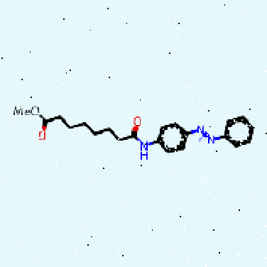 COC(=O)CCCCCCC(=O)Nc1ccc(/N=N/c2ccccc2)cc1